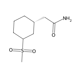 CS(=O)(=O)C1CCC[C@H](CC(N)=O)C1